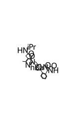 CCCCc1nc(C)c(CC(=O)NC(C)C)c(=O)n1Cc1ccc(-c2ccccc2-c2noc(=O)[nH]2)cc1